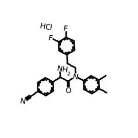 Cc1ccc(N(CCc2ccc(F)c(F)c2)C(=O)C(N)c2ccc(C#N)cc2)cc1C.Cl